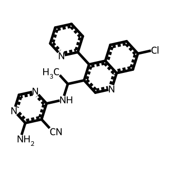 CC(Nc1ncnc(N)c1C#N)c1cnc2cc(Cl)ccc2c1-c1ccccn1